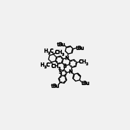 Cc1cc2c3c(c1)N(C1C=C(C(C)(C)C)C=C(C(C)(C)C)C1)c1cc4c(cc1B3c1sc3cc(C(C)(C)C)ccc3c1N2C1=CCC(C(C)(C)C)C=C1)C(C)(C)CCC4(C)C